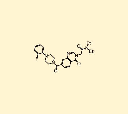 CCN(CC)C(=O)Cn1cnc2cc(C(=O)N3CCN(c4ccccc4F)CC3)ccc2c1=O